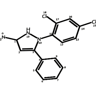 NC1C=C(c2ccccc2)N(c2ccc(Cl)cc2Cl)N1